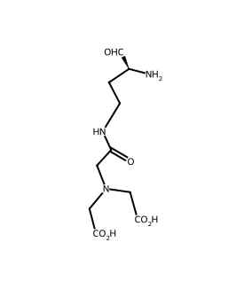 N[C@H](C=O)CCNC(=O)CN(CC(=O)O)CC(=O)O